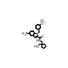 Nc1ccc2c(c1)cc(C(=O)NCC1(CO)CCCC1)n2Cc1cccc(OC(F)(F)F)c1